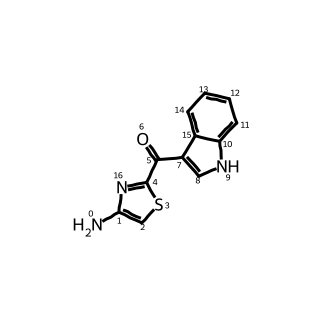 Nc1csc(C(=O)c2c[nH]c3ccccc23)n1